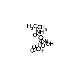 CC(C)CNC(=O)c1ccc2c(c1)N(Cc1cc(F)cc3c1OCOC3)C(=O)/C2=N\O